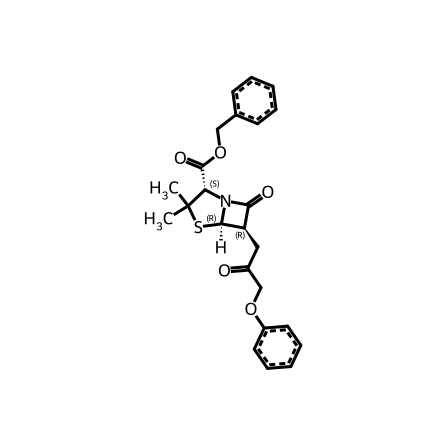 CC1(C)S[C@@H]2[C@H](CC(=O)COc3ccccc3)C(=O)N2[C@H]1C(=O)OCc1ccccc1